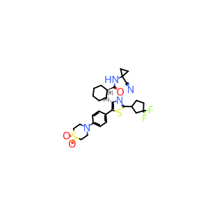 N#CC1(NC(=O)[C@@H]2CCCC[C@H]2c2nc(C3CCC(F)(F)C3)sc2-c2ccc(N3CCS(=O)(=O)CC3)cc2)CC1